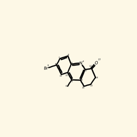 Cc1c2c(nc3ccc(Br)cc13)C(=O)CCC2